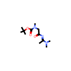 C/C(=N\C(=O)CN(C)C(=O)OC(C)(C)C)N(C)C